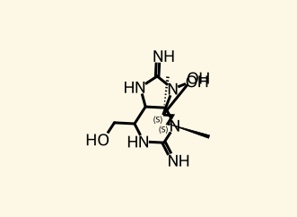 C[C@H]1C[C@](C)(O)C23C(NC(=N)N2O)C(CO)NC(=N)N13